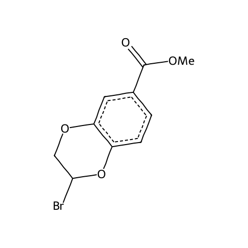 COC(=O)c1ccc2c(c1)OCC(Br)O2